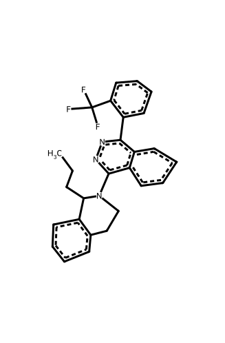 CCCC1c2ccccc2CCN1c1nnc(-c2ccccc2C(F)(F)F)c2ccccc12